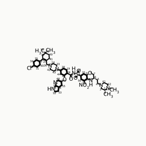 C[C@@H]1CN(CC[C@@H]2COc3cc(S(=O)(=O)NC(=O)c4ccc(N5CCN(CC6=C(c7ccc(Cl)cc7)CC(C)(C)CC6)CC5)cc4Oc4cnc5[nH]ccc5c4)cc([N+](=O)[O-])c3N2)CCN1C